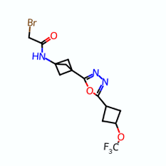 O=C(CBr)NC12CC(c3nnc(C4CC(OC(F)(F)F)C4)o3)(C1)C2